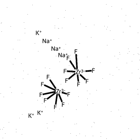 [F][Zr-3]([F])([F])([F])([F])([F])[F].[F][Zr-3]([F])([F])([F])([F])([F])[F].[K+].[K+].[K+].[Na+].[Na+].[Na+]